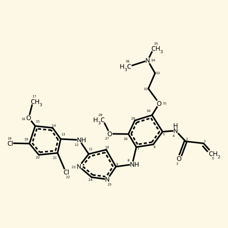 C=CC(=O)Nc1cc(Nc2cc(Nc3cc(OC)c(Cl)cc3Cl)ncn2)c(OC)cc1OCCN(C)C